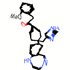 COc1ccccc1CC(=O)C1CCC(Cc2c[nH]cn2)(c2ccc3c(c2)C=NC=CN3)CC1